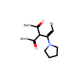 COC(=O)C(C(=O)OC)C(=CC(C)=O)N1CCCC1